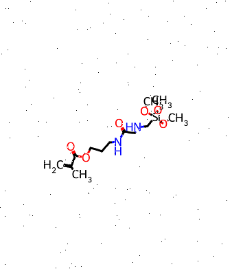 C=C(C)C(=O)OCCCNC(=O)CNC[Si](OC)(OC)OC